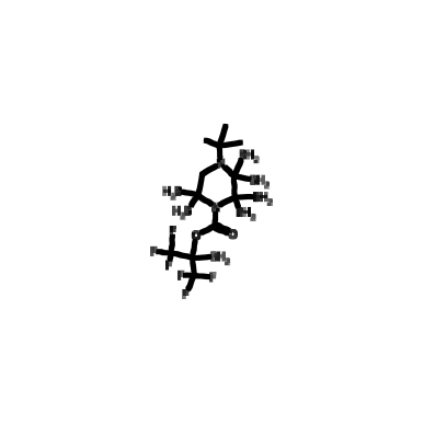 BC1(B)CN(C(C)(C)C)C(B)(B)C(B)(B)N1C(=O)OC(B)(C(F)(F)F)C(F)(F)F